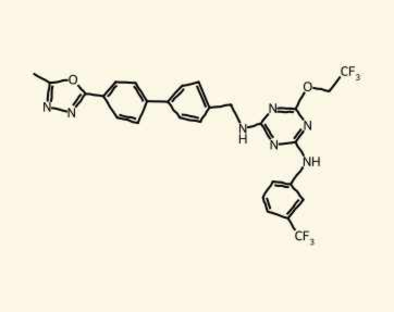 Cc1nnc(-c2ccc(-c3ccc(CNc4nc(Nc5cccc(C(F)(F)F)c5)nc(OCC(F)(F)F)n4)cc3)cc2)o1